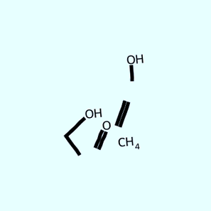 C.C=C.C=O.CCO.CO